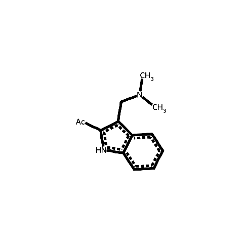 CC(=O)c1[nH]c2ccccc2c1CN(C)C